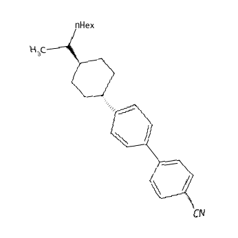 CCCCCCC(C)[C@H]1CC[C@H](c2ccc(-c3ccc(C#N)cc3)cc2)CC1